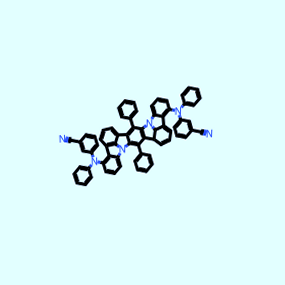 N#Cc1cccc(N(c2ccccc2)c2cccc3c2C2=CC=CC4c5c(c(-c6ccccc6)c6c7cccc8c9c(N(c%10ccccc%10)c%10cccc(C#N)c%10)cccc9n(c6c5-c5ccccc5)c87)N3C24)c1